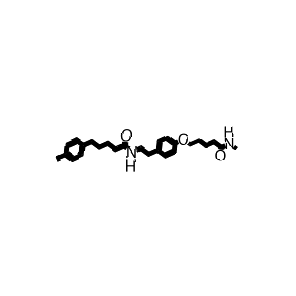 CNC(=O)CCCCOc1ccc(CCNC(=O)CCCCc2ccc(C)cc2)cc1